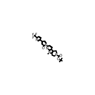 Cn1c2c(c3ccc(-n4ccc(-c5ccc(C(F)(F)F)nc5)cc4=O)nc31)CCN(C(=O)OC(C)(C)C)CC2